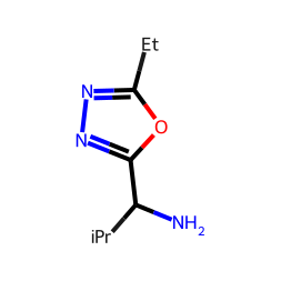 CCc1nnc(C(N)C(C)C)o1